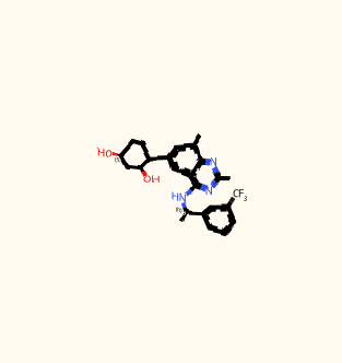 Cc1nc(N[C@H](C)c2cccc(C(F)(F)F)c2)c2cc(C3CC[C@H](O)CC3O)cc(C)c2n1